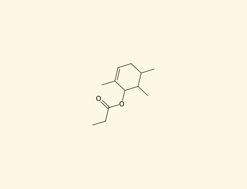 CCC(=O)OC1C(C)=CCC(C)C1C